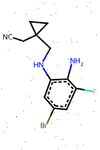 N#CCC1(CNc2cc(Br)cc(F)c2N)CC1